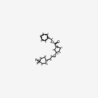 O=C(OCc1ccccc1)N1CCC(OCCN2CCC(F)(F)CC2)C1